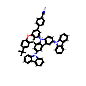 CC(C)(C)c1ccc2c(c1)B1c3c(cc(-c4ccc(C#N)cc4)cc3-n3c4ccc(-n5c6ccccc6c6ccccc65)cc4c4cc(-n5c6ccccc6c6ccccc65)cc1c43)O2